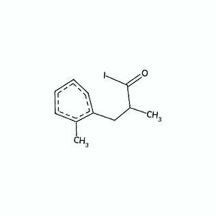 Cc1ccccc1CC(C)C(=O)I